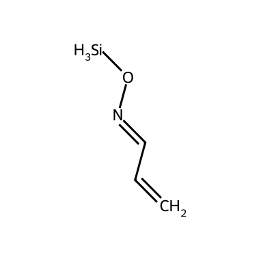 C=CC=NO[SiH3]